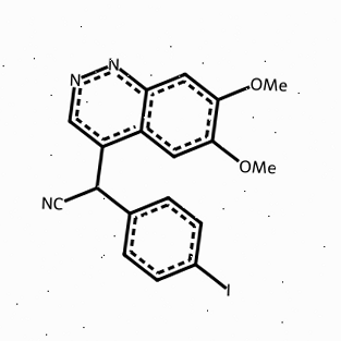 COc1cc2nncc(C(C#N)c3ccc(I)cc3)c2cc1OC